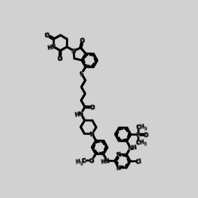 COc1cc(N2CCC(NC(=O)CCCCSc3cccc4c3CN(C3CCC(=O)NC3=O)C4=O)CC2)ccc1Nc1ncc(Cl)c(Nc2ccccc2P(C)(C)=O)n1